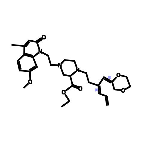 C=C/C=C(\C=C1/COCCO1)CCN1CCN(CCn2c(=O)cc(C)c3ccc(OC)cc32)CC1C(=O)OCC